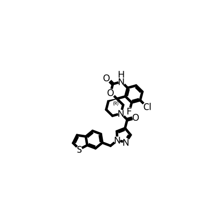 O=C1Nc2ccc(Cl)c(F)c2[C@@]2(CCCN(C(=O)c3cnn(Cc4ccc5ccsc5c4)c3)C2)O1